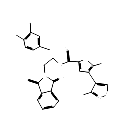 CCc1sc(C(=O)N[C@@H](Cc2ccc(F)c(F)c2)CN2C(=O)c3ccccc3C2=O)cc1-c1c[nH]nc1Cl